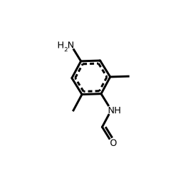 Cc1cc(N)cc(C)c1NC=O